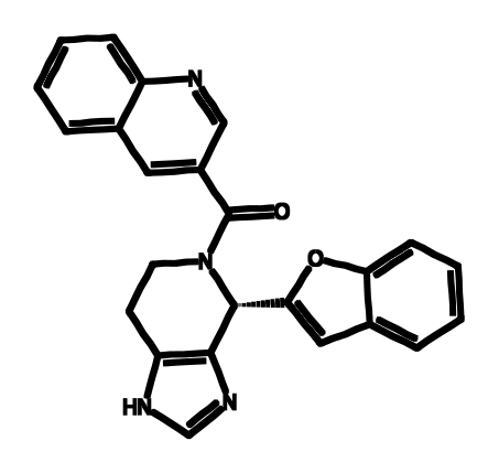 O=C(c1cnc2ccccc2c1)N1CCc2[nH]cnc2[C@H]1c1cc2ccccc2o1